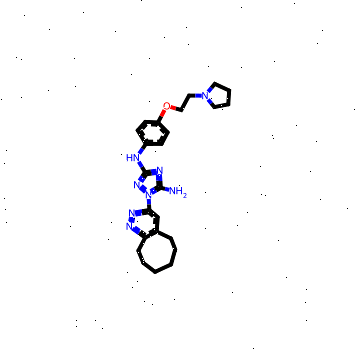 Nc1nc(Nc2ccc(OCCN3CCCC3)cc2)nn1-c1cc2c(nn1)CCCCCC2